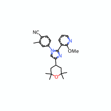 COc1ncccc1-c1nc(C2CC(C)(C)OC(C)(C)C2)cn1-c1ccc(C#N)c(C)c1